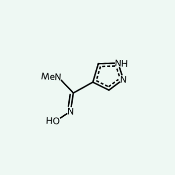 CNC(=NO)c1cn[nH]c1